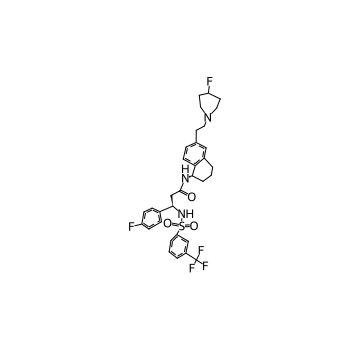 O=C(C[C@@H](NS(=O)(=O)c1cccc(C(F)(F)F)c1)c1ccc(F)cc1)N[C@@H]1CCCc2cc(CCN3CCC(F)CC3)ccc21